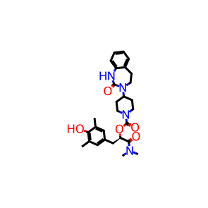 Cc1cc(C[C@@H](OC(=O)N2CCC(N3CCc4ccccc4NC3=O)CC2)C(=O)N(C)C)cc(C)c1O